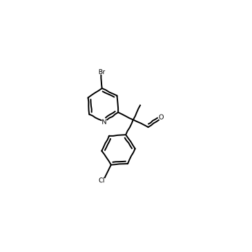 CC(C=O)(c1ccc(Cl)cc1)c1cc(Br)ccn1